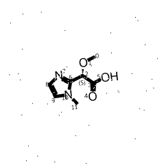 CO[C@H](C(=O)O)c1nccn1C